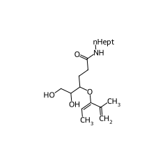 C=C(C)C(=CC)OC(CCC(=O)NCCCCCCC)C(O)CO